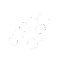 C=C(C(=O)N1CC2C3(c4cccc(N)c4)CCC(c4ccccc43)C2(C(=O)O)C1)c1ccccc1OC